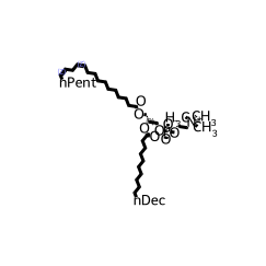 CCCCC/C=C\C/C=C\CCCCCCCCCC(=O)OC[C@H](COP(=O)([O-])OCC[N+](C)(C)C)OC(=O)CCCCCCCCCCCCCCCCCCC